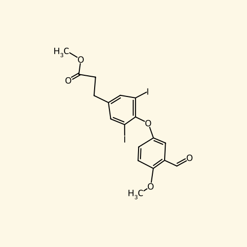 COC(=O)CCc1cc(I)c(Oc2ccc(OC)c(C=O)c2)c(I)c1